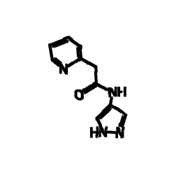 O=C(Cc1ccccn1)Nc1cn[nH]c1